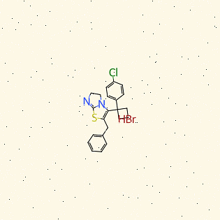 Br.Clc1ccc(C2(C3=C(Cc4ccccc4)SC4=NCCN43)CCC2)cc1